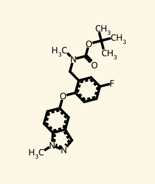 CN(Cc1cc(F)ccc1Oc1ccc2c(cnn2C)c1)C(=O)OC(C)(C)C